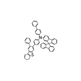 C1=Cc2c(sc3cc(-c4ccc(N(c5ccc(-c6ccccc6)cc5)c5ccc6c(c5)C5(c7ccccc7-c7ccccc75)c5ccccc5-6)cc4)c(-c4ccccc4)cc23)CC1